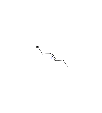 CC/C=C/C[NH]